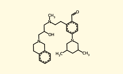 CC1CC(C)CN(c2ccc(C=O)c(CCN(C)CC(O)CN3CCc4ccccc4C3)c2)C1